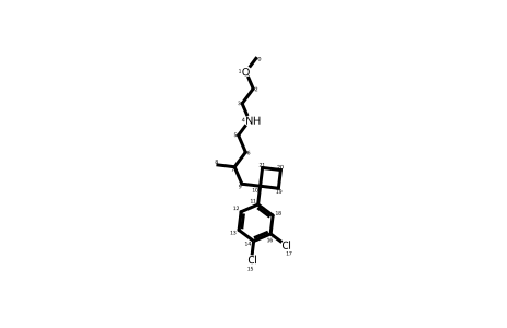 COCCNCCC(C)CC1(c2ccc(Cl)c(Cl)c2)CCC1